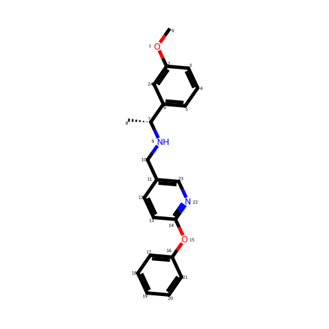 COc1cccc([C@@H](C)NCc2ccc(Oc3ccccc3)nc2)c1